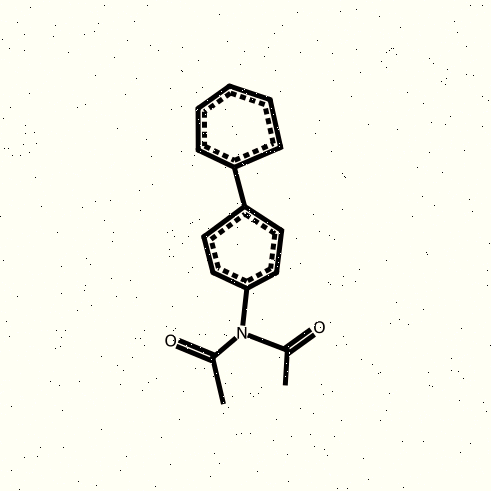 CC(=O)N(C(C)=O)c1ccc(-c2ccccc2)cc1